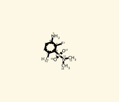 Cc1ccc(N)c(F)c1S(=O)(=O)N(C)C